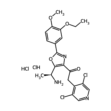 CCOc1cc(-c2nc(C(=O)Cc3c(Cl)cncc3Cl)c([C@H](C)N)o2)ccc1OC.Cl.Cl